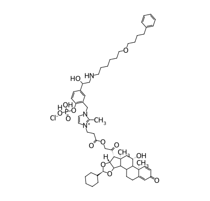 Cc1n(Cc2cc(C(O)CNCCCCCCOCCCCc3ccccc3)ccc2OP(=O)(O)O)cc[n+]1CCC(=O)OCC(=O)[C@H]1[C@H]2O[C@H](C3CCCCC3)OC2C2C3CCC4=CC(=O)C=C[C@]4(C)C3[C@@H](O)C[C@@]21C.[Cl-]